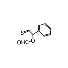 O=COC([C]=S)c1ccccc1